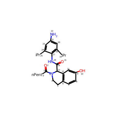 CCCCCC(=O)N1CCc2ccc(O)cc2C1C(=O)Nc1c(C(C)C)cc(N)cc1C(C)C